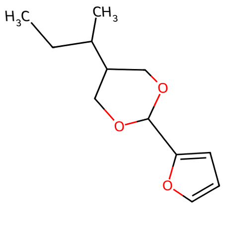 CCC(C)C1COC(c2ccco2)OC1